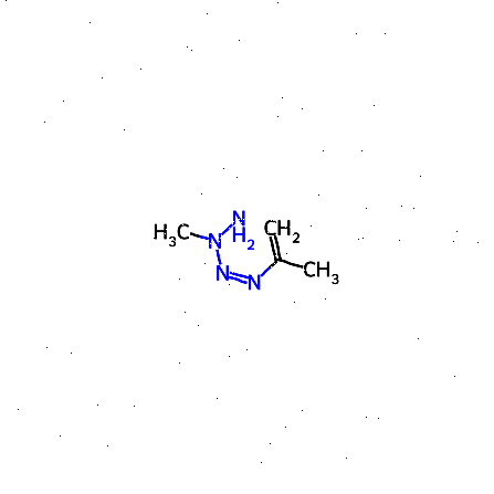 C=C(C)/N=N\N(C)N